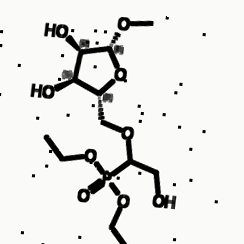 CCOP(=O)(OCC)C(CO)OC[C@H]1O[C@@H](OC)[C@H](O)[C@@H]1O